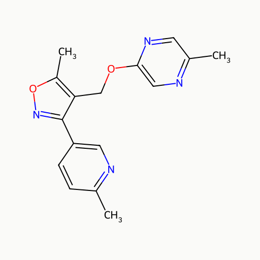 Cc1ccc(-c2noc(C)c2COc2cnc(C)cn2)cn1